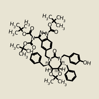 CC(C)(C)OC(=O)N(C(=O)OC(C)(C)C)c1nn(C(=O)OC(C)(C)C)c2ccc(CN3C(=O)N(Cc4ccc(O)cc4)[C@H](Cc4ccccc4)[C@@H]4OC(C)(C)O[C@H]4[C@H]3Cc3ccccc3)cc12